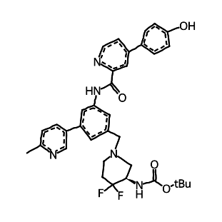 Cc1ccc(-c2cc(CN3CCC(F)(F)[C@H](NC(=O)OC(C)(C)C)C3)cc(NC(=O)c3cc(-c4ccc(O)cc4)ccn3)c2)cn1